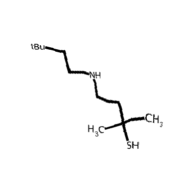 CC(C)(C)CCNCCC(C)(C)S